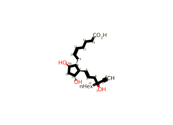 C#CC(O)(C/C=C/[C@@H]1[C@@H](C/C=C\CCCC(=O)O)[C@H](O)C[C@H]1O)CCCCCC